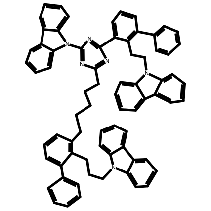 c1ccc(-c2cccc(CCCCCc3nc(-c4cccc(-c5ccccc5)c4CCn4c5ccccc5c5ccccc54)nc(-n4c5ccccc5c5ccccc54)n3)c2CCCn2c3ccccc3c3ccccc32)cc1